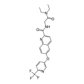 CCN(CC)C(=O)CNC(=O)c1ccc2cc(Oc3ccc(C(F)(F)F)nc3)ccc2n1